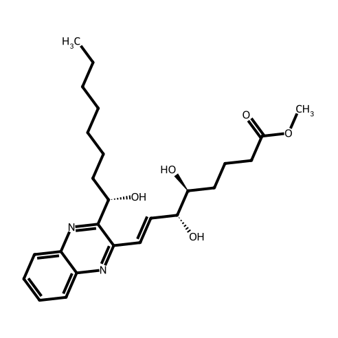 CCCCCCC[C@H](O)c1nc2ccccc2nc1/C=C/[C@@H](O)[C@@H](O)CCCC(=O)OC